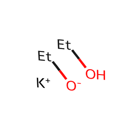 CCO.CC[O-].[K+]